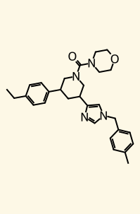 CCc1ccc(C2CC(c3cn(Cc4ccc(C)cc4)cn3)CN(C(=O)N3CCOCC3)C2)cc1